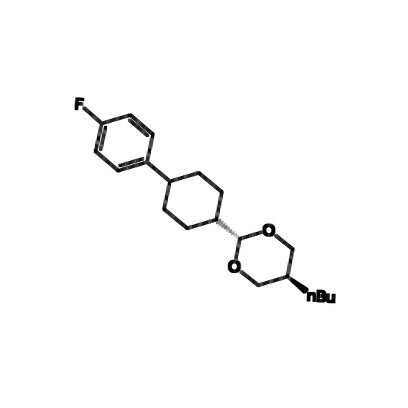 CCCC[C@H]1CO[C@H](C2CCC(c3ccc(F)cc3)CC2)OC1